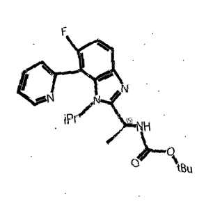 CC(C)n1c([C@H](C)NC(=O)OC(C)(C)C)nc2ccc(F)c(-c3ccccn3)c21